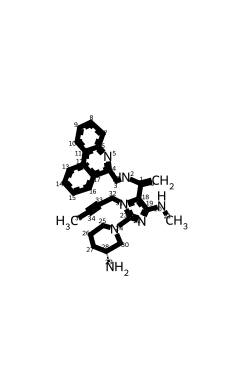 C=C(NCc1nc2ccccc2c2ccccc12)c1c(NC)nc(N2CCC[C@@H](N)C2)n1CC#CC